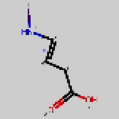 O=C(O)C/C=C/NI